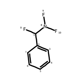 FC(c1ccccc1)N(F)F